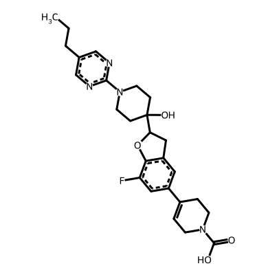 CCCc1cnc(N2CCC(O)(C3Cc4cc(C5=CCN(C(=O)O)CC5)cc(F)c4O3)CC2)nc1